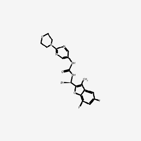 Cc1c([C@H](NC(=O)Nc2cnc(N3CCOCC3)nc2)C(C)C)oc2c(F)cc(F)cc12